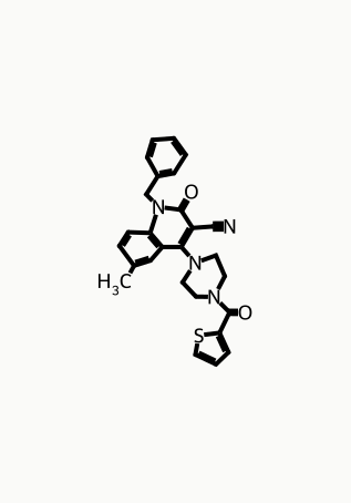 Cc1ccc2c(c1)c(N1CCN(C(=O)c3cccs3)CC1)c(C#N)c(=O)n2Cc1ccccc1